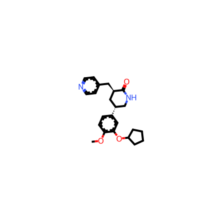 COc1ccc([C@H]2CNC(=O)[C@H](Cc3ccncc3)C2)cc1OC1CCCC1